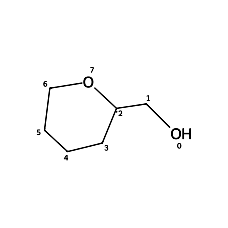 OC[C]1CCCCO1